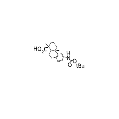 CC(C)(C)OC(=O)Nc1ccc2c(c1)[C@@]1(C)CCC[C@](C)(C(=O)O)C1CC2